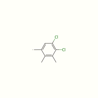 [CH2]c1cc(Cl)c(Cl)c(C)c1C